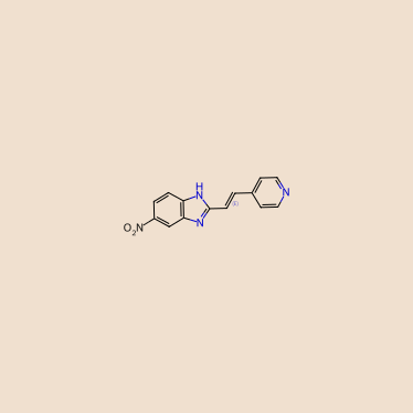 O=[N+]([O-])c1ccc2[nH]c(/C=C/c3ccncc3)nc2c1